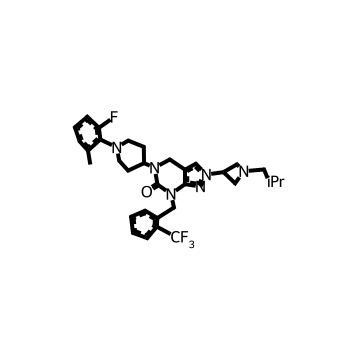 Cc1cccc(F)c1N1CCC(N2Cc3cn(C4CN(CC(C)C)C4)nc3N(Cc3ccccc3C(F)(F)F)C2=O)CC1